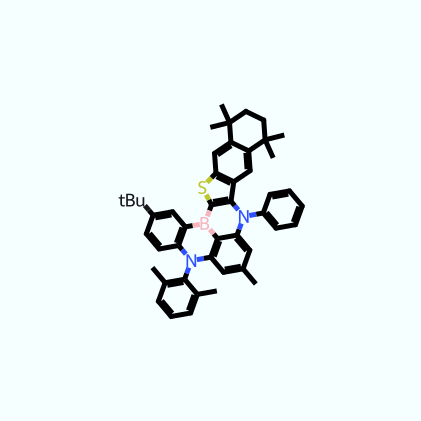 Cc1cc2c3c(c1)N(c1ccccc1)c1c(sc4cc5c(cc14)C(C)(C)CCC5(C)C)B3c1cc(C(C)(C)C)ccc1N2c1c(C)cccc1C